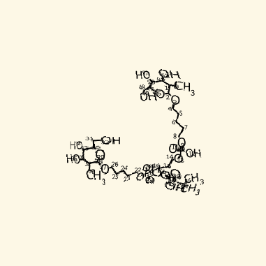 CC1C(OCCCCCOP(=O)(O)OCC(COP(=O)(O)OCCCCCOC2OC(CO)C(O)C(O)C2C)OP(=O)(O)C(C)C)OC(CO)C(O)C1O